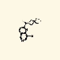 CC1(F)CN(C(=O)c2ccc3cncc(Br)c3n2)C1